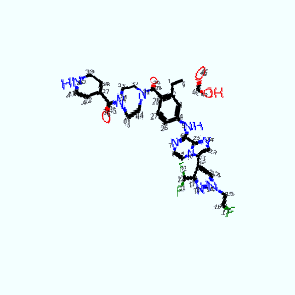 CCc1cc(Nc2nccn3c(-c4cn(CCF)nc4C(F)F)cnc23)ccc1C(=O)N1CCN(C(=O)C2CCNCC2)CC1.O=CO